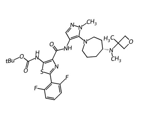 CN([C@@H]1CCCN(c2c(NC(=O)c3nc(-c4c(F)cccc4F)sc3NC(=O)OC(C)(C)C)cnn2C)CC1)C1(C)COC1